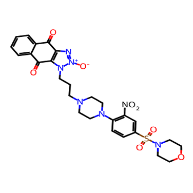 O=C1c2ccccc2C(=O)c2c1n[n+]([O-])n2CCCN1CCN(c2ccc(S(=O)(=O)N3CCOCC3)cc2[N+](=O)[O-])CC1